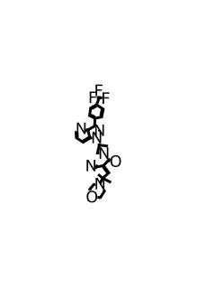 CC(C)(C=C(C#N)C(=O)N1CC(n2nc(-c3ccc(C(F)(F)F)cc3)c3ncccc32)C1)N1CCOCC1